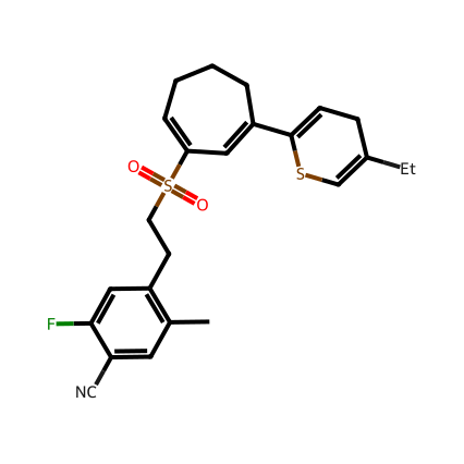 CCC1=CSC(C2=CC(S(=O)(=O)CCc3cc(F)c(C#N)cc3C)=CCCC2)=CC1